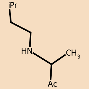 CC(=O)C(C)NCCC(C)C